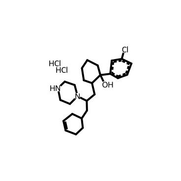 Cl.Cl.OC1(c2cccc(Cl)c2)CCCCC1CC(CC1CC=CCC1)N1CCNCC1